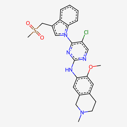 COc1cc2c(cc1Nc1ncc(Cl)c(-n3cc(CS(C)(=O)=O)c4ccccc43)n1)CN(C)CC2